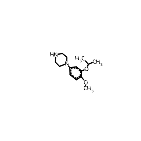 COc1ccc(N2CCNCC2)cc1OC(C)C